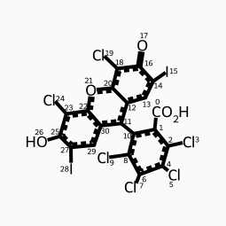 O=C(O)c1c(Cl)c(Cl)c(Cl)c(Cl)c1-c1c2cc(I)c(=O)c(Cl)c-2oc2c(Cl)c(O)c(I)cc12